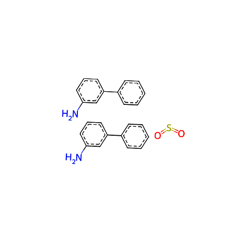 Nc1cccc(-c2ccccc2)c1.Nc1cccc(-c2ccccc2)c1.O=S=O